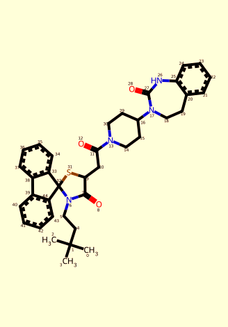 CC(C)(C)CCN1C(=O)C(CC(=O)N2CCC(N3CCc4ccccc4NC3=O)CC2)SC12c1ccccc1-c1ccccc12